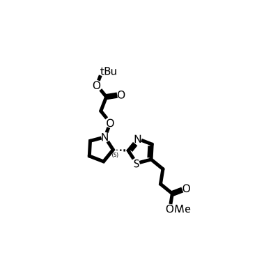 COC(=O)CCc1cnc([C@@H]2CCCN2OCC(=O)OC(C)(C)C)s1